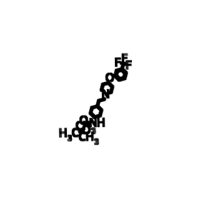 CC(C)(C)OC(=O)NC1CCC(CCN2CCC(Oc3cccc(C(F)(F)F)c3)CC2)CC1